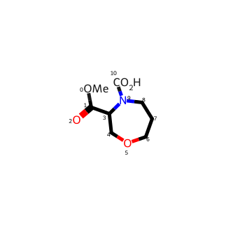 COC(=O)C1COCCCN1C(=O)O